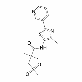 Cc1nc(-c2cccnc2)sc1NC(=O)C(C)(C)CS(C)(=O)=O